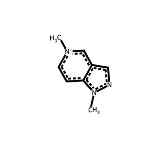 Cn1ncc2c[n+](C)ccc21